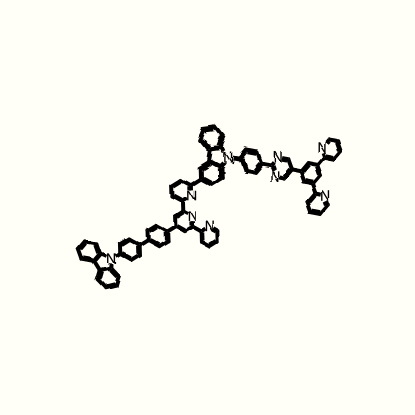 c1ccc(-c2cc(-c3cnc(-c4ccc(-n5c6ccccc6c6cc(-c7cccc(-c8cc(-c9ccc(-c%10ccc(-n%11c%12ccccc%12c%12ccccc%12%11)cc%10)cc9)cc(-c9ccccn9)n8)n7)ccc65)cc4)nc3)cc(-c3ccccn3)c2)nc1